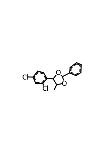 [CH2]C1OC(c2ccccc2)OC1c1ccc(Cl)cc1Cl